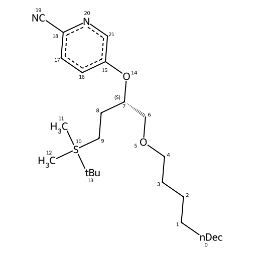 CCCCCCCCCCCCCCOC[C@H](CCS(C)(C)C(C)(C)C)Oc1ccc(C#N)nc1